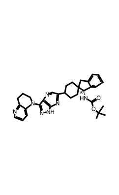 CC(C)(C)OC(=O)N[C@H]1c2ccccc2CC12CCC(c1cnc3c(N4CCCc5ncccc54)n[nH]c3n1)CC2